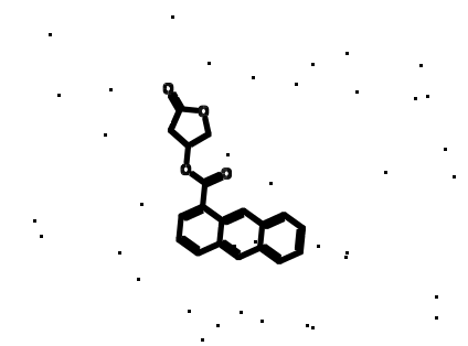 O=C1CC(OC(=O)c2cccc3cc4ccccc4cc23)CO1